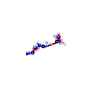 Cn1c(=O)n(C2CCC(=O)NC2=O)c2ccc(CCCOCCCNCc3ccc(-n4cc(NC(=O)c5coc(-c6ccnc(NCC7CC7)c6)n5)c(C(F)F)n4)cc3)cc21